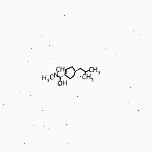 CC(C)C[C@H]1CC[C@H](C(O)N(C)C)CC1